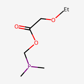 CCOCC(=O)OCP(C)C